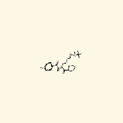 CC(C)(C)[Si](C)(C)OCCSC[C@H](NC(=O)c1ccc(F)cc1)C(=O)N1CCOCC1